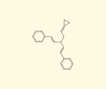 C(=CC(C=Cc1ccccc1)CC=C1CC1)c1ccccc1